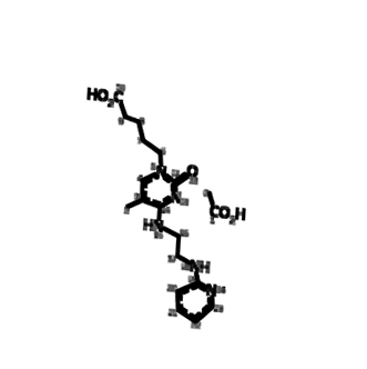 CC(=O)O.Cc1cn(CCCCC(=O)O)c(=O)nc1NCCNc1ccccn1